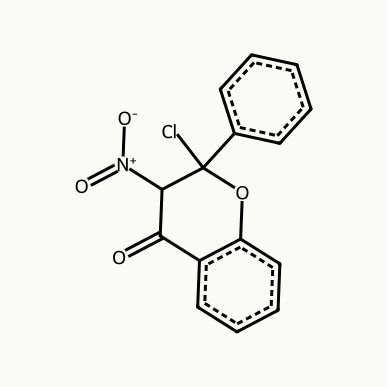 O=C1c2ccccc2OC(Cl)(c2ccccc2)C1[N+](=O)[O-]